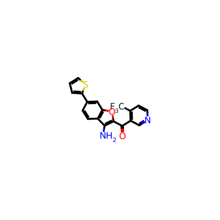 Nc1c(C(=O)c2cnccc2C(F)(F)F)oc2cc(-c3cccs3)ccc12